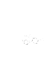 Cc1cc(Cl)ccc1-n1ccnc1